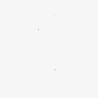 CN(C)CCCNC(=O)OCCCCCC1CCCCN1C(=O)NCCc1ccccc1